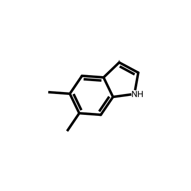 Cc1cc2[c]c[nH]c2cc1C